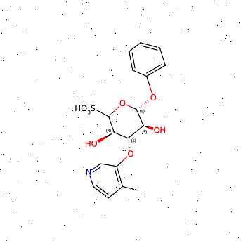 Cc1ccncc1O[C@H]1[C@H](O)[C@@H](Oc2ccccc2)OC(S(=O)(=O)O)[C@@H]1O